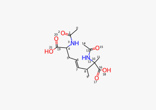 CC(=O)NC(CC=CC(C)C(C)(NC(C)=O)C(=O)O)C(=O)O